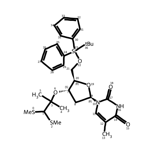 CSC(SC)C(C)(C)O[C@H]1C[C@H](n2cc(C)c(=O)[nH]c2=O)O[C@@H]1CO[Si](c1ccccc1)(c1ccccc1)C(C)(C)C